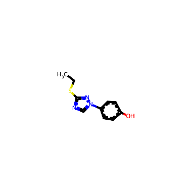 CCSc1ncn(-c2ccc(O)cc2)n1